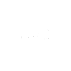 CCCCCCCCCCc1ccc(C(=O)O)c(C(=O)O)c1CC(CCC)CC(C)CC